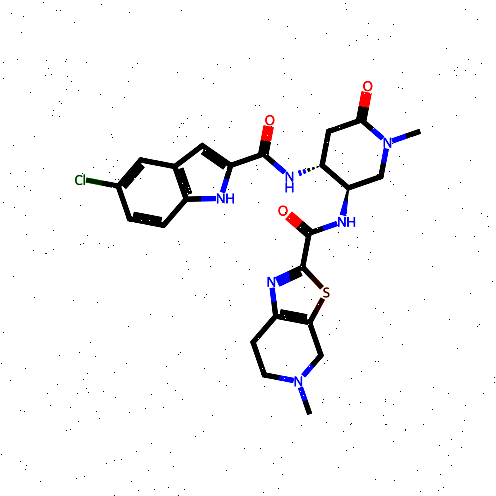 CN1CCc2nc(C(=O)N[C@@H]3CN(C)C(=O)C[C@H]3NC(=O)c3cc4cc(Cl)ccc4[nH]3)sc2C1